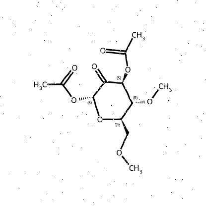 COC[C@H]1O[C@H](OC(C)=O)C(=O)[C@@H](OC(C)=O)[C@@H]1OC